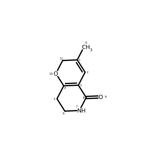 CC1=CC2=C(CCNC2=O)OC1